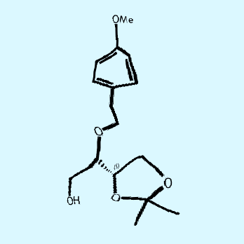 COc1ccc(COC(CO)[C@@H]2COC(C)(C)O2)cc1